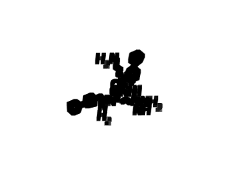 N=C(N)NCCC[C@H](NC[C@@H](N)Cc1ccc(-c2ccccc2)cc1)C(=O)N[C@@H](Cc1ccc(-c2ccccc2)cc1)C(=O)NCCCCN